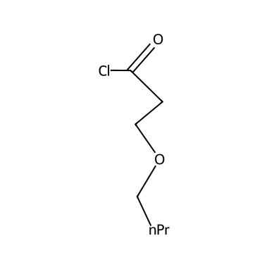 CCCCOCCC(=O)Cl